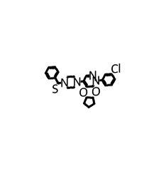 O=c1c(OC2CCCC2)c(N2CCN(C(=S)c3ccccc3)CC2)cnn1-c1cccc(Cl)c1